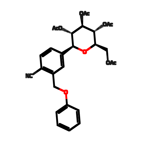 CC(=O)OC[C@H]1O[C@@H](c2ccc(C#N)c(COc3ccccc3)c2)[C@H](OC(C)=O)[C@@H](OC(C)=O)[C@@H]1OC(C)=O